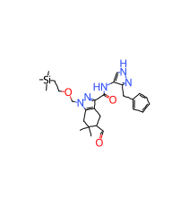 CC1(C)Cc2c(c(C(=O)Nc3c[nH]nc3Cc3ccccc3)nn2COCC[Si](C)(C)C)CC1C=O